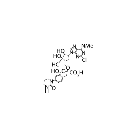 C#C[C@@]1(O)[C@@H](COC(Cc2ccc(N3CCCNC3=O)cc2)(C(=O)O)C(=O)O)C[C@@H](n2cnc3c(NC)nc(Cl)nc32)[C@@H]1O